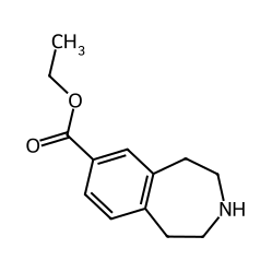 CCOC(=O)c1ccc2c(c1)CCNCC2